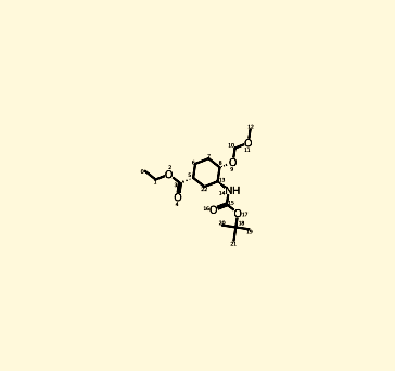 CCOC(=O)[C@@H]1CC[C@H](OCOC)[C@@H](NC(=O)OC(C)(C)C)C1